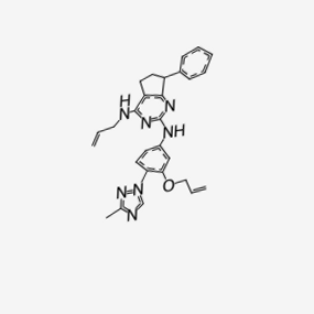 C=CCNc1nc(Nc2ccc(-n3cnc(C)n3)c(OCC=C)c2)nc2c1CCC2c1ccccc1